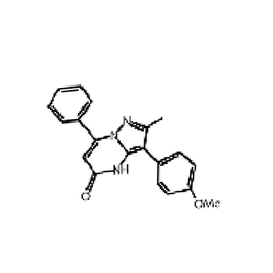 COc1ccc(-c2c(C)nn3c(-c4ccccc4)cc(=O)[nH]c23)cc1